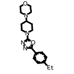 CCc1ccc(-c2nnc(N3CCC(N4CCOCC4)CC3)o2)cc1